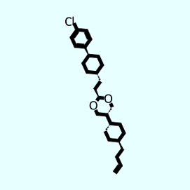 C=CCC[C@H]1CC[C@H]([C@H]2CO[C@H](CC[C@H]3CC[C@H](c4ccc(Cl)cc4)CC3)OC2)CC1